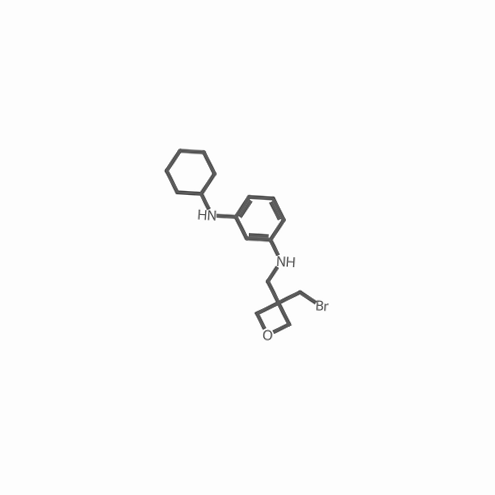 BrCC1(CNc2cccc(NC3CCCCC3)c2)COC1